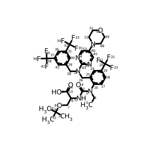 CCN(C(=O)NC(COC(C)(C)C)C(=O)O)c1ccc(C(F)(F)F)cc1CN(Cc1cc(C(F)(F)F)cc(C(F)(F)F)c1)c1ncc(N2CCOCC2)cn1